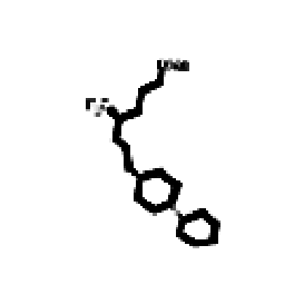 COCCCC(CCC[C@H]1CC[C@H](C2CCCCC2)CC1)C(F)(F)F